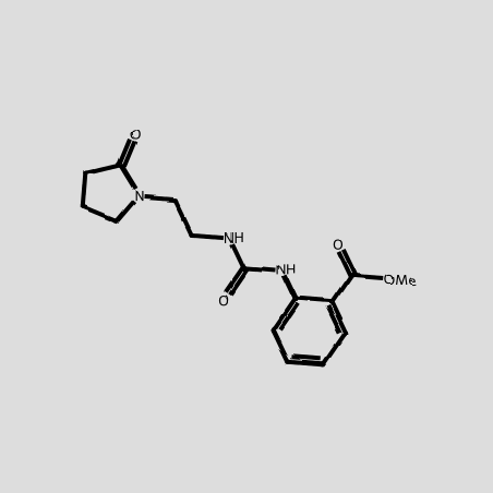 COC(=O)c1ccccc1NC(=O)NCCN1CCCC1=O